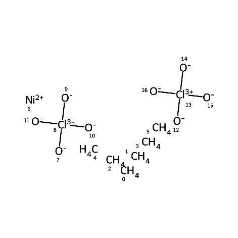 C.C.C.C.C.C.[Ni+2].[O-][Cl+3]([O-])([O-])[O-].[O-][Cl+3]([O-])([O-])[O-]